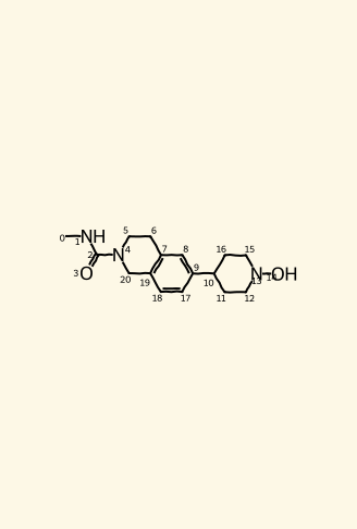 CNC(=O)N1CCc2cc(C3CCN(O)CC3)ccc2C1